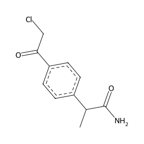 CC(C(N)=O)c1ccc(C(=O)CCl)cc1